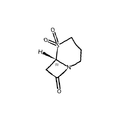 O=C1C[C@H]2N1CCCS2(=O)=O